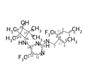 C=C/C=C(\C(=C/C)CNc1ncc(C(F)(F)F)c(NC2C(C)(C)C(O)C2(C)C)n1)C(F)(F)F